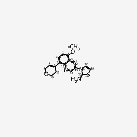 COc1ccc(C2=CCOCC2)c2ncc(N3C=CSC3N)nc12